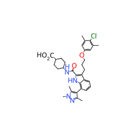 Cc1cc(OCCCc2c(C(=O)NC3CCC(C(=O)O)CC3)[nH]c3c(-c4c(C)nn(C)c4C)cccc23)cc(C)c1Cl